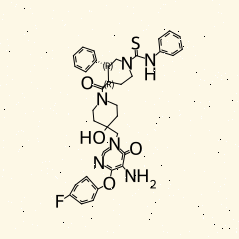 Nc1c(Oc2ccc(F)cc2)ncn(CC2(O)CCN(C(=O)[C@@H]3CCN(C(=S)Nc4ccccc4)C[C@H]3c3ccccc3)CC2)c1=O